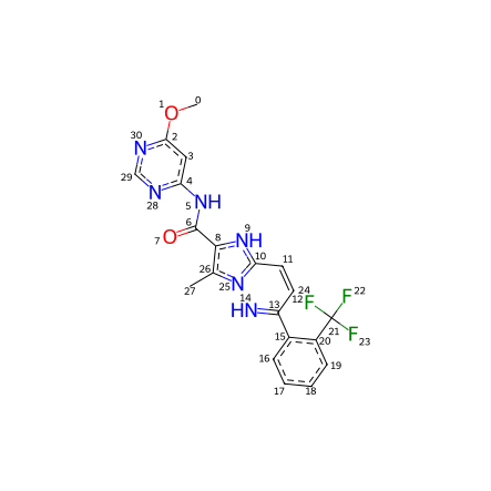 COc1cc(NC(=O)c2[nH]c(/C=C\C(=N)c3ccccc3C(F)(F)F)nc2C)ncn1